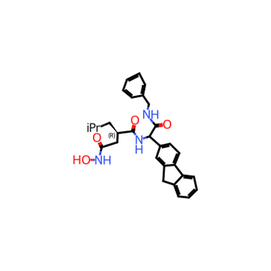 CC(C)C[C@H](CC(=O)NO)C(=O)NC(C(=O)NCc1ccccc1)c1ccc2c(c1)Cc1ccccc1-2